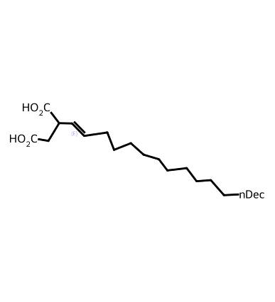 CCCCCCCCCCCCCCCCCCCC/C=C/C(CC(=O)O)C(=O)O